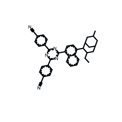 CCC1CC2CC(C)CC(C2)C1c1ccc(-c2nc(-c3ccc(C#N)cc3)nc(-c3ccc(C#N)cc3)n2)c2ccccc12